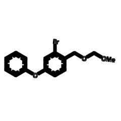 COCOCc1ccc(Oc2ccccc2)cc1Br